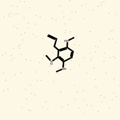 C=CCc1c(NC)ccc(NC)c1NC